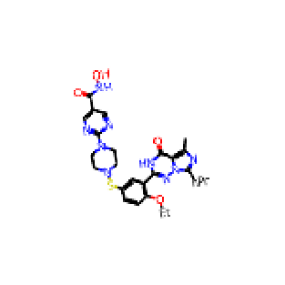 CCCc1nc(C)c2c(=O)[nH]c(-c3cc(SN4CCN(c5ncc(C(=O)NO)cn5)CC4)ccc3OCC)nn12